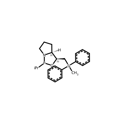 CC(C)P1O[C@H](C[Si](C)(c2ccccc2)c2ccccc2)[C@@H]2CCCN21